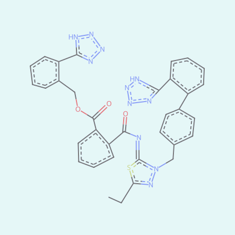 CCc1nn(Cc2ccc(-c3ccccc3-c3nnn[nH]3)cc2)c(=NC(=O)c2ccccc2C(=O)OCc2ccccc2-c2nnn[nH]2)s1